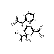 CC1(C(=O)O)C=CC=C(C(=O)O)C1.NC(=S)Nc1ccccc1